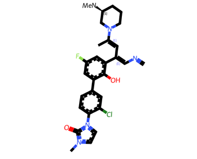 C=N/C=C(\C=C(/C)N1CCC[C@H](NC)C1)c1cc(F)cc(-c2ccc(-n3ccn(C)c3=O)c(Cl)c2)c1O